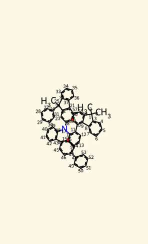 CC1(C)c2ccccc2-c2c(-c3ccccc3N(c3ccc4c(c3)C(C)(c3ccccc3)c3ccccc3-4)c3ccccc3-c3ccc(-c4ccccc4)cc3)cccc21